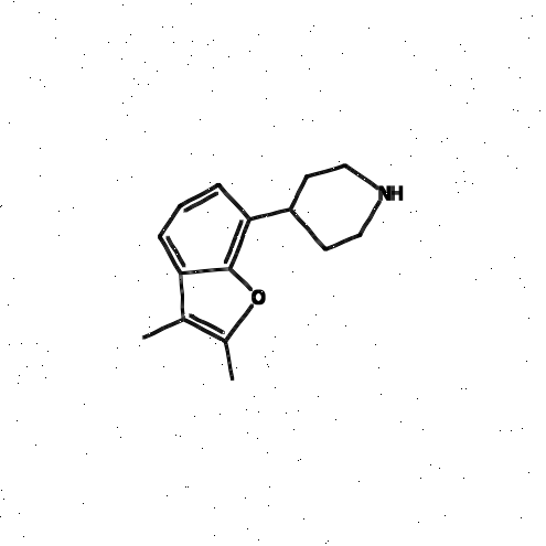 Cc1oc2c(C3CCNCC3)cccc2c1C